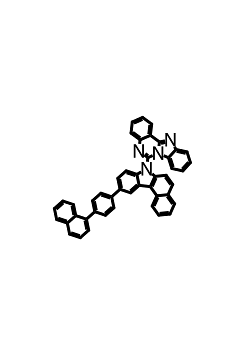 c1ccc2c(-c3ccc(-c4ccc5c(c4)c4c6ccccc6ccc4n5-c4nc5ccccc5c5nc6ccccc6n45)cc3)cccc2c1